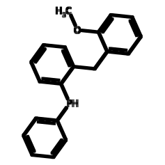 COc1ccccc1Cc1ccccc1Pc1ccccc1